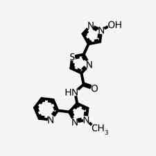 Cn1cc(NC(=O)c2csc(-c3cnn(O)c3)n2)c(-c2ccccn2)n1